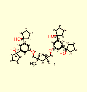 CC(C)(COc1cc(C2(O)CCCC2)cc(C2(O)CCCC2)c1)CC(C)(C)COc1cc(C2(O)CCCC2)cc(C2(O)CCCC2)c1